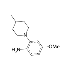 COc1ccc(N)c(N2CCC(C)CC2)c1